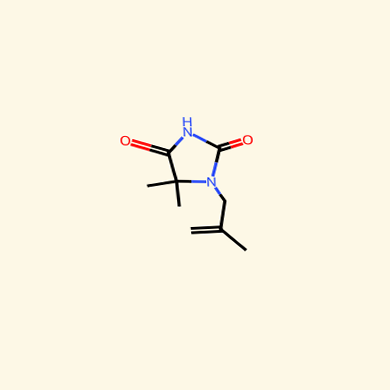 C=C(C)CN1C(=O)NC(=O)C1(C)C